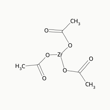 CC(=O)[O][Zr]([O]C(C)=O)[O]C(C)=O